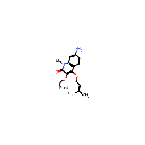 CCCC(C)COc1c(OCC=C(C)C)c2ccc(N)cc2n(CC)c1=O